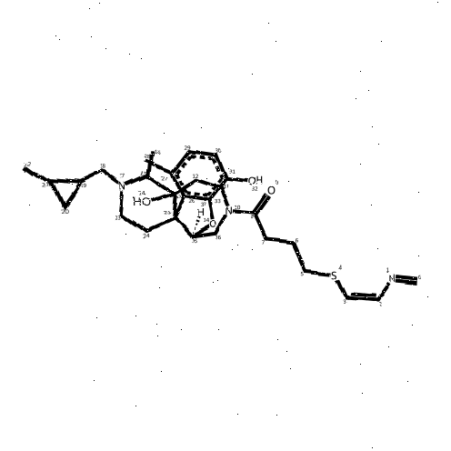 C=N/C=C\SCCCC(=O)N1CCC2(O)C(C)N(CC3CC3C)CCC23c2c(C)ccc(O)c2O[C@H]3C1